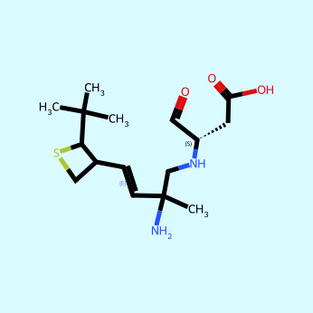 CC(N)(/C=C/C1CSC1C(C)(C)C)CN[C@H](C=O)CC(=O)O